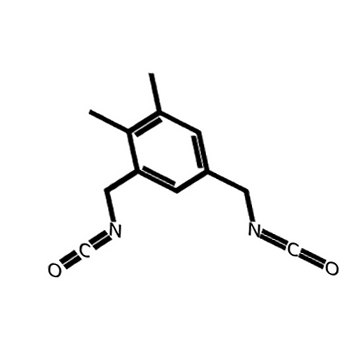 Cc1cc(CN=C=O)cc(CN=C=O)c1C